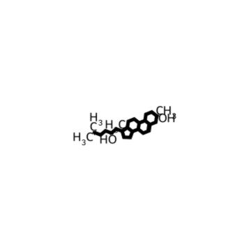 CC(C)CCC(O)CC1CCC2C3CC=C4C[C@@](C)(O)CCC4C3CCC12C